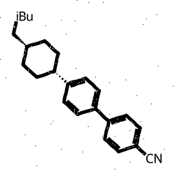 CCC(C)C[C@H]1CC[C@H](c2ccc(-c3ccc(C#N)cc3)cc2)CC1